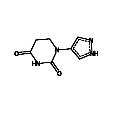 O=C1CCN(c2cn[nH]c2)C(=O)N1